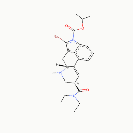 CCN(CC)C(=O)[C@@H]1C=C2c3cccc4c3c(c(Br)n4C(=O)OC(C)C)C[C@H]2N(C)C1